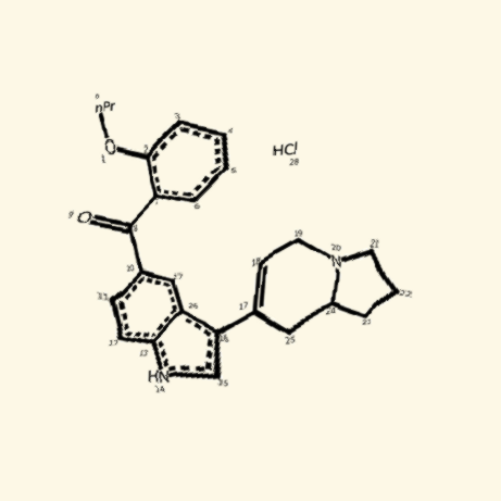 CCCOc1ccccc1C(=O)c1ccc2[nH]cc(C3=CCN4CCCC4C3)c2c1.Cl